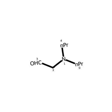 CCCN([CH]C=O)CCC